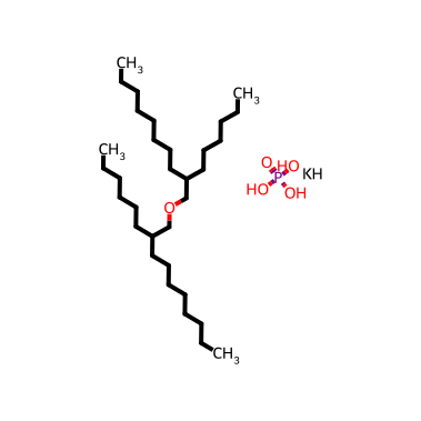 CCCCCCCCC(CCCCCC)COCC(CCCCCC)CCCCCCCC.O=P(O)(O)O.[KH]